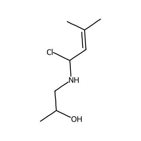 CC(C)=CC(Cl)NCC(C)O